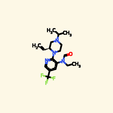 C=C[C@@H]1CN(C(C)C)CCN1c1ncc(C(F)(F)F)cc1N(C=O)CC